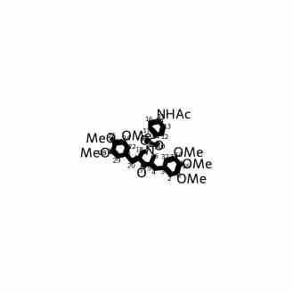 COc1cc(C=C2CN(S(=O)(=O)c3ccc(NC(C)=O)cc3)CC(=Cc3cc(OC)c(OC)c(OC)c3)C2=O)cc(OC)c1OC